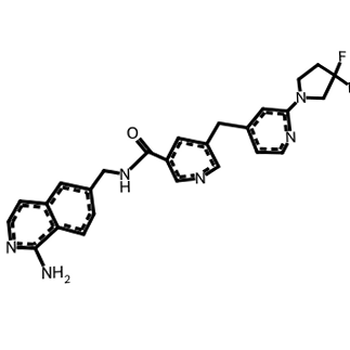 Nc1nccc2cc(CNC(=O)c3cncc(Cc4ccnc(N5CCC(F)(F)C5)c4)c3)ccc12